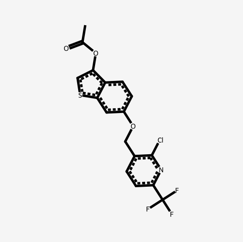 CC(=O)Oc1csc2cc(OCc3ccc(C(F)(F)F)nc3Cl)ccc12